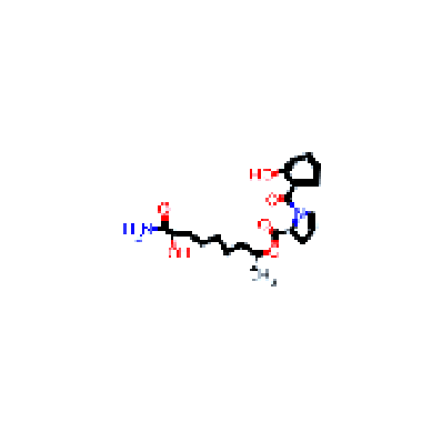 C[C@H](CCCCC[C@@H](O)C(N)=O)OC(=O)[C@@H]1CC=CN1C(=O)c1ccccc1O